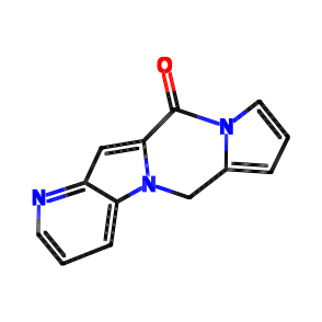 O=C1c2cc3ncccc3n2Cc2cccn21